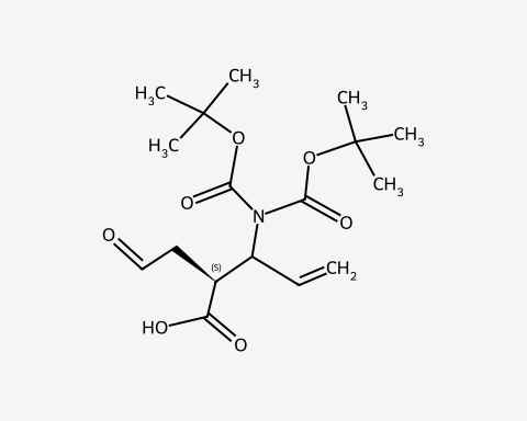 C=CC([C@H](CC=O)C(=O)O)N(C(=O)OC(C)(C)C)C(=O)OC(C)(C)C